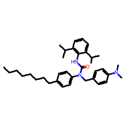 CCCCCCCCc1ccc(N(Cc2ccc(N(C)C)cc2)C(=O)Nc2c(C(C)C)cccc2C(C)C)cc1